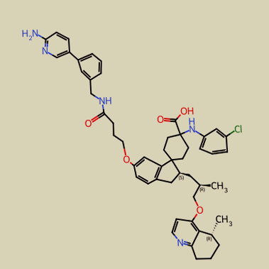 C[C@@H](COc1ccnc2c1[C@H](C)CCC2)C[C@H]1Cc2ccc(OCCCC(=O)NCc3cccc(-c4ccc(N)nc4)c3)cc2C12CCC(Nc1cccc(Cl)c1)(C(=O)O)CC2